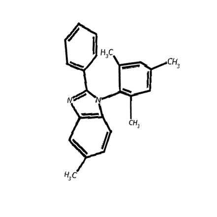 Cc1cc(C)c(-n2c(-c3ccccc3)nc3cc(C)ccc32)c(C)c1